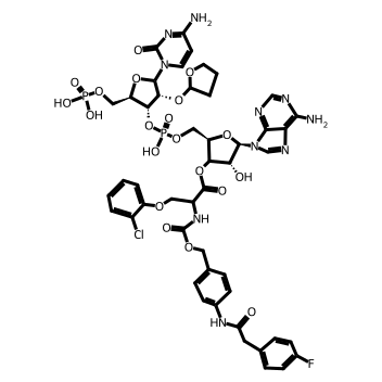 Nc1ccn(C2O[C@H](COP(=O)(O)O)[C@@H](OP(=O)(O)OC[C@H]3O[C@@H](n4cnc5c(N)ncnc54)[C@H](O)C3OC(=O)C(COc3ccccc3Cl)NC(=O)OCc3ccc(NC(=O)Cc4ccc(F)cc4)cc3)[C@H]2OC2CCCO2)c(=O)n1